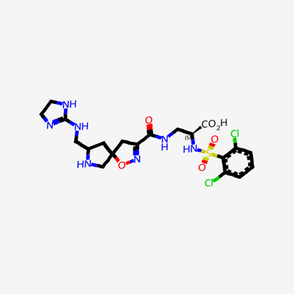 O=C(NC[C@H](NS(=O)(=O)c1c(Cl)cccc1Cl)C(=O)O)C1=NOC2(CNC(CNC3=NCCN3)C2)C1